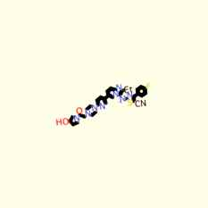 CCc1nc2ccc(-c3ccc(N4CCN(CC(=O)N5CCC(O)C5)CC4)nc3)cn2c1N(C)c1nc(-c2ccc(F)cc2)c(C#N)s1